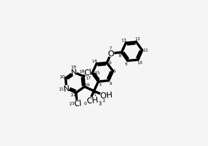 CC(O)(c1ccc(Oc2ccccc2)cc1)c1c(Cl)ncnc1Cl